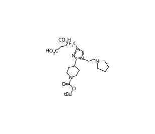 CC(C)(C)OC(=O)N1CCC(c2nc(C(F)(F)F)cn2CCN2CCCC2)CC1.O=C(O)CCC(=O)O